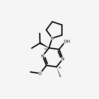 COC1=N[C@](C(C)C)(N2CCCC2)C(O)=N[C@@H]1C